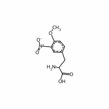 COc1ccc(CC(N)C(=O)O)cc1[N+](=O)[O-]